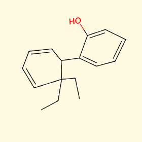 CCC1(CC)C=CC=CC1c1ccccc1O